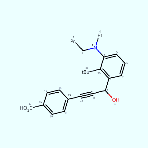 CCN(CC(C)C)c1cccc(C(O)C#Cc2ccc(C(=O)O)cc2)c1C(C)(C)C